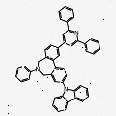 c1ccc(-c2cc(-c3ccc4c(c3)-c3ccc(-n5c6ccccc6c6ccccc65)cc3CN(c3ccccc3)C4)cc(-c3ccccc3)n2)cc1